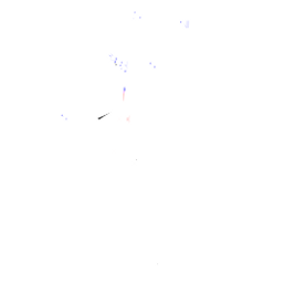 C[C@@H]1[C@@H](OC(=O)c2ccc(C(F)(F)F)cc2)C(c2ccccc2)N2C(=N)NCC3NC(=N)N(O)C312